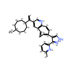 C=C(c1cnc2c(c1)/C=C/C=C(c1c[nH]nc1-c1cccc(C)n1)/C=C\2)C1CCCC(C(C)C)CCC1